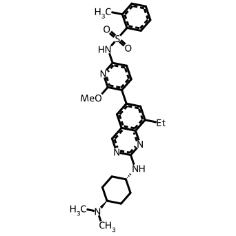 CCc1cc(-c2ccc(NS(=O)(=O)c3ccccc3C)nc2OC)cc2cnc(N[C@H]3CC[C@H](N(C)C)CC3)nc12